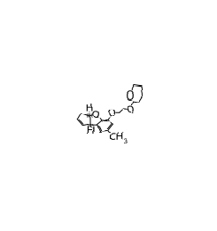 Cc1cc(OCCOC2CCCCO2)c2c(c1)[C@H]1C=CC[C@H]1O2